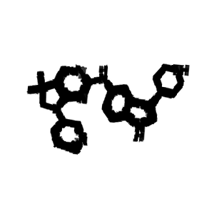 CC1(C)CN(c2cccnc2)c2nc(Nc3ccc4[nH]cc(C5=CCNCC5)c4c3)ncc21